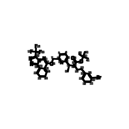 C[C@@H](c1cccc(COc2nn3c(C(F)(F)F)nnc3c3ccccc23)n1)N(CCc1cccc(Br)c1)C(=O)OC(C)(C)C